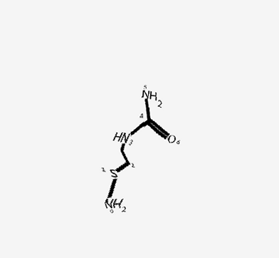 NSCNC(N)=O